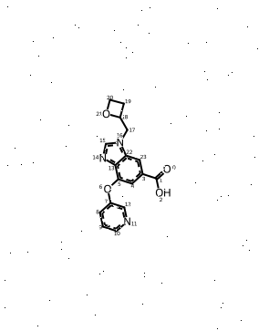 O=C(O)c1cc(Oc2cccnc2)c2ncn(CC3CCO3)c2c1